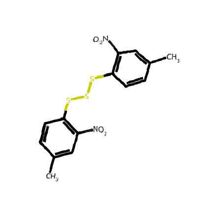 Cc1ccc(SSSc2ccc(C)cc2[N+](=O)[O-])c([N+](=O)[O-])c1